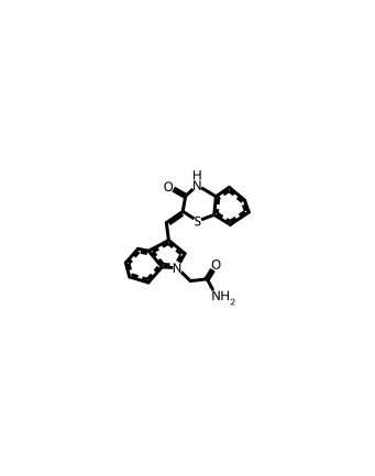 NC(=O)Cn1cc(C=C2Sc3ccccc3NC2=O)c2ccccc21